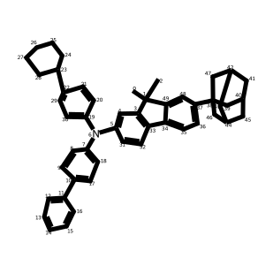 CC1(C)c2cc(N(c3ccc(-c4ccccc4)cc3)c3ccc(C4CCCCC4)cc3)ccc2-c2ccc(C34CC5CC(CC(C5)C3)C4)cc21